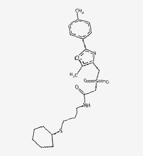 Cc1ccc(-c2nc(CS(=O)(=O)CC(=O)NCCCSC3CCCCC3)c(C)o2)cc1